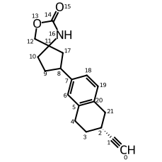 C#C[C@@H]1CCc2cc(C3CCC4(COC(=O)N4)C3)ccc2C1